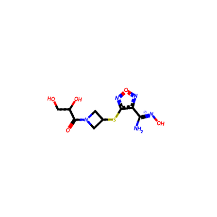 N/C(=N\O)c1nonc1SC1CN(C(=O)C(O)CO)C1